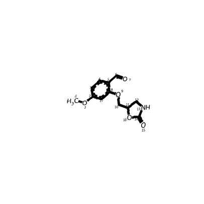 COc1ccc(C=O)c(OCC2CNC(=O)O2)c1